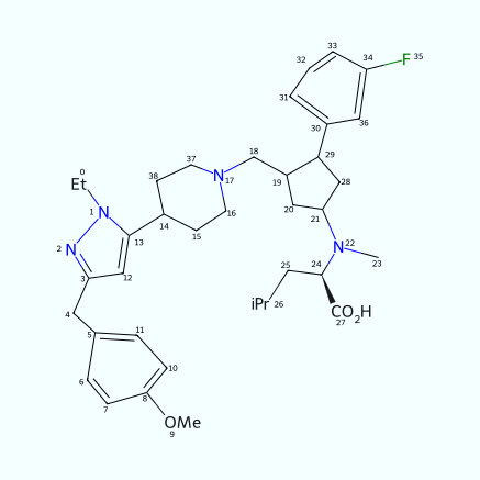 CCn1nc(Cc2ccc(OC)cc2)cc1C1CCN(CC2CC(N(C)[C@H](CC(C)C)C(=O)O)CC2c2cccc(F)c2)CC1